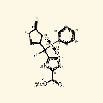 COC(=O)c1noc(C(F)(C2CCC(=O)C2)S(=O)(=O)c2ccccc2)n1